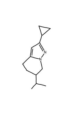 CC(C)C1CCc2cc(C3CC3)nn2C1